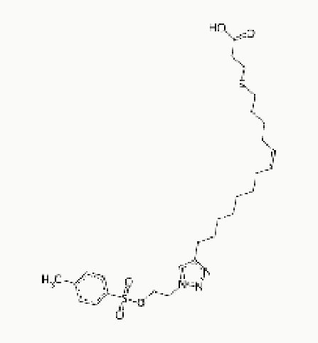 Cc1ccc(S(=O)(=O)OCCn2cc(CCCCCCC/C=C\CCCCSCCC(=O)O)nn2)cc1